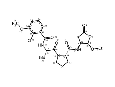 CCO[C@@H]1OC(=O)C[C@@H]1NC(=O)[C@@H]1CCCN1C(=O)[C@@H](NC(=O)c1cccc(OC(F)(F)F)c1Cl)C(C)(C)C